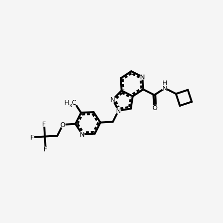 Cc1cc(Cn2cc3c(C(=O)NC4CCC4)nccc3n2)cnc1OCC(F)(F)F